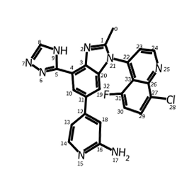 Cc1nc2c(-c3nnc[nH]3)cc(-c3ccnc(N)c3)cc2n1-c1ccnc2c(Cl)ccc(F)c12